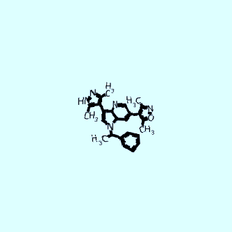 Cc1n[nH]c(C)c1C1=CN(C(C)c2ccccc2)C2C=C(c3c(C)noc3C)C=NC12